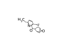 CCc1ccc(C2CC2)c(C(=O)C2CC3CC2CC3=O)n1